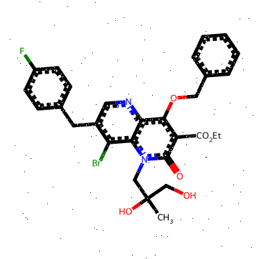 CCOC(=O)c1c(OCc2ccccc2)c2ncc(Cc3ccc(F)cc3)c(Br)c2n(CC(C)(O)CO)c1=O